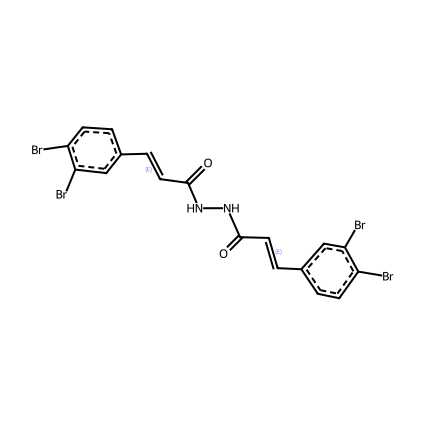 O=C(/C=C/c1ccc(Br)c(Br)c1)NNC(=O)/C=C/c1ccc(Br)c(Br)c1